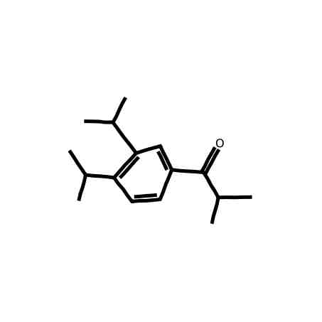 CC(C)C(=O)c1ccc(C(C)C)c(C(C)C)c1